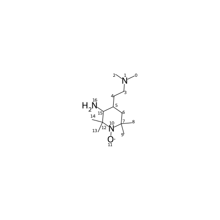 CN(C)CCC1CC(C)(C)N([O])C(C)(C)C1N